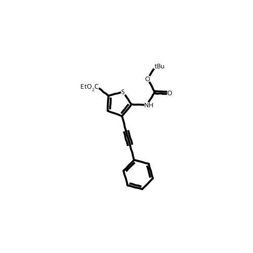 CCOC(=O)c1cc(C#Cc2ccccc2)c(NC(=O)OC(C)(C)C)s1